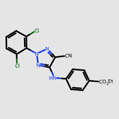 CCOC(=O)c1ccc(Nc2nn(-c3c(Cl)cccc3Cl)nc2C#N)cc1